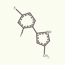 [CH2]c1c[nH]c(-c2ccc(F)cc2F)c1